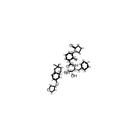 CC1(C)Cc2ccc(O[C@H]3CCOC3)cc2[C@@H](NC[C@@H](O)[C@H](Cc2ccccc2)NC(=O)c2cccc(N3CCCC3=O)c2F)C1